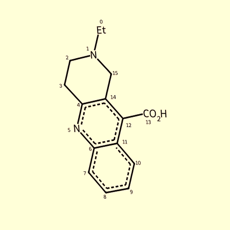 CCN1CCc2nc3ccccc3c(C(=O)O)c2C1